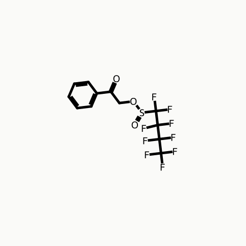 O=C(COS(=O)C(F)(F)C(F)(F)C(F)(F)C(F)(F)F)c1ccccc1